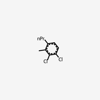 CCCc1ccc(Cl)c(Cl)c1C